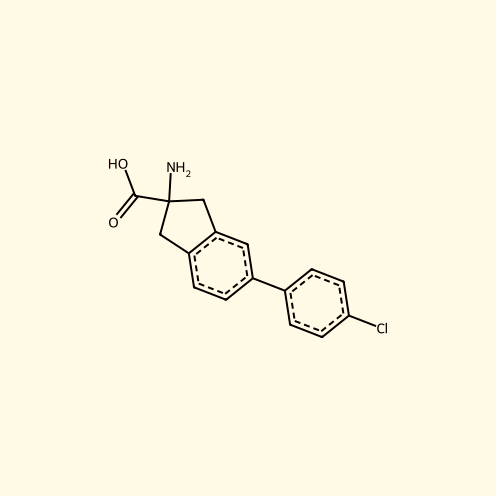 NC1(C(=O)O)Cc2ccc(-c3ccc(Cl)cc3)cc2C1